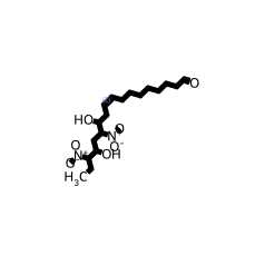 CCC(C(O)CC(C(O)C/C=C\CCCCCCCC=O)[N+](=O)[O-])[N+](=O)[O-]